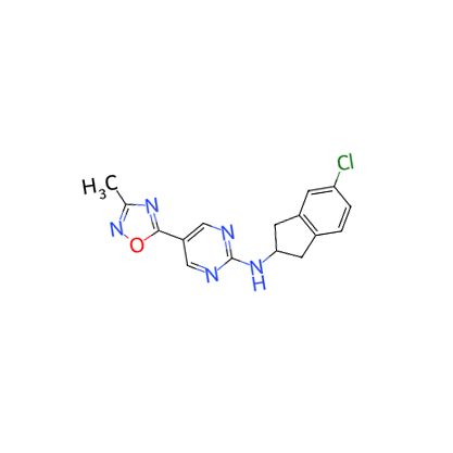 Cc1noc(-c2cnc(NC3Cc4ccc(Cl)cc4C3)nc2)n1